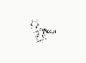 COC(C)(c1ccccc1)c1ccccc1OC(=O)O